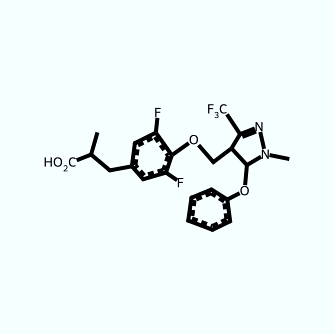 CC(Cc1cc(F)c(OCC2C(C(F)(F)F)=NN(C)C2Oc2ccccc2)c(F)c1)C(=O)O